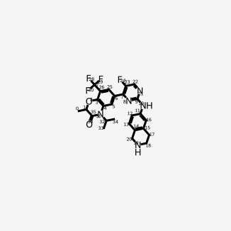 CC1Oc2c(cc(-c3nc(Nc4ccc5c(c4)CCNC5)ncc3F)cc2C(F)(F)F)N(C(C)C)C1=O